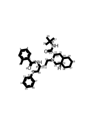 Cc1ccccc1C(=O)N[C@H](CCN1C[C@H]2CCCCC2C[C@H]1C(=O)NC(C)(C)C)CSc1ccccc1